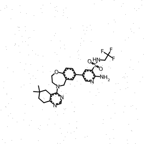 CC1(C)CCc2ncnc(N3CCOc4ccc(-c5cnc(N)c(S(=O)(=O)NCC(F)(F)F)c5)cc4C3)c2C1